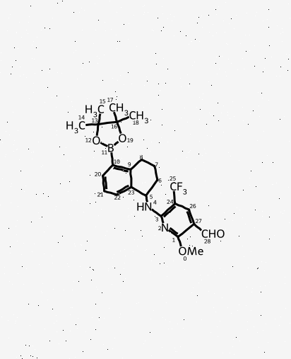 COc1nc(NC2CCCc3c(B4OC(C)(C)C(C)(C)O4)cccc32)c(C(F)(F)F)cc1C=O